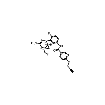 C#CCOc1cnc(C(=O)Nc2ccc(F)c([C@]3(C)N=C(N)S[C@@]4(CF)C[C@H]43)c2)cn1